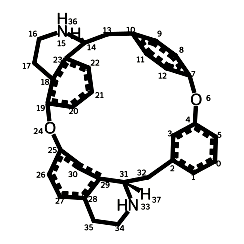 c1cc2cc(c1)Oc1ccc(cc1)C[C@@H]1NCCc3c(cccc31)Oc1ccc3c(c1)[C@H](C2)NCC3